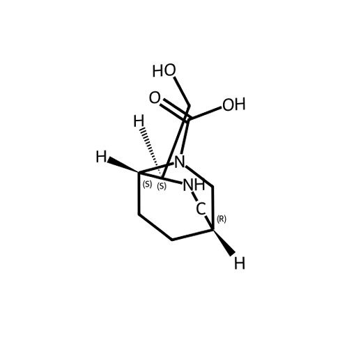 O=C(O)N1C[C@@H]2CC[C@H]1[C@@H](CO)NC2